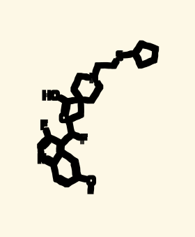 COc1ccc2ncc(F)c(C(F)CCC3(C(=O)O)CCN(CCSC4CCCC4)CC3)c2c1